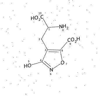 NC(Cc1c(O)noc1C(=O)O)C(=O)O